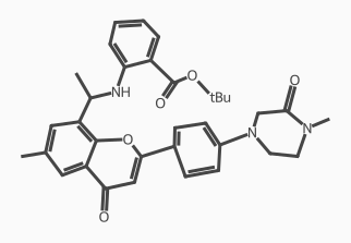 Cc1cc(C(C)Nc2ccccc2C(=O)OC(C)(C)C)c2oc(-c3ccc(N4CCN(C)C(=O)C4)cc3)cc(=O)c2c1